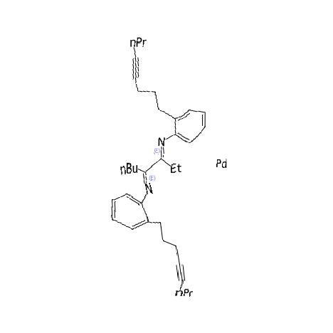 CCCC#CCCCc1ccccc1/N=C(CC)/C(CCCC)=N/c1ccccc1CCCC#CCCC.[Pd]